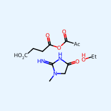 CC(=O)C(=O)OC(=O)CCC(=O)O.CCO.CN1CC(=O)NC1=N